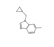 Cc1ccc2ncn(CC3CC3)c2c1